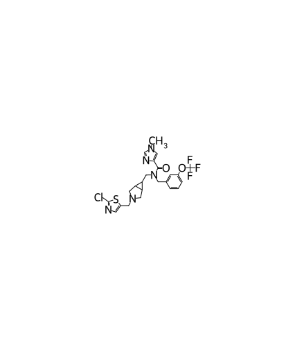 Cn1cnc(C(=O)N(Cc2cccc(OC(F)(F)F)c2)CC2C3CN(Cc4cnc(Cl)s4)CC32)c1